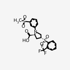 CS(=O)(=O)c1cccc(N2C[C@H](S(=O)(=O)c3ccccc3C(F)(F)F)C[C@H]2C(=O)O)c1